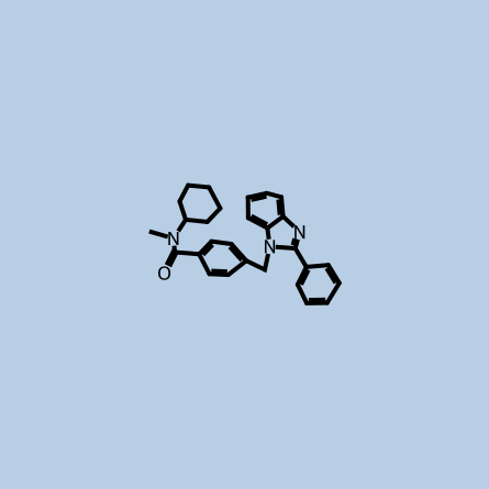 CN(C(=O)c1ccc(Cn2c(-c3ccccc3)nc3ccccc32)cc1)C1CCCCC1